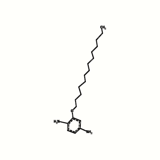 CCCCCCCCCCCCCCOc1cc(N)ccc1N